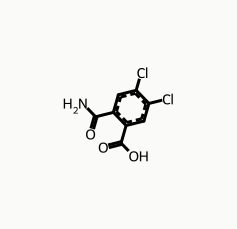 NC(=O)c1cc(Cl)c(Cl)cc1C(=O)O